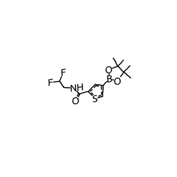 CC1(C)OB(c2csc(C(=O)NCC(F)F)c2)OC1(C)C